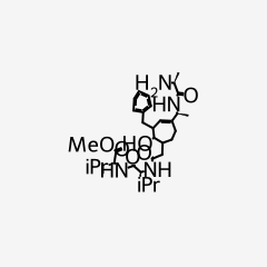 COC(=O)[C@@H](NC(=O)[C@@H](NC(=O)CC1CCC([C@H](C)NC(=O)[C@H](C)N)=CC(Cc2ccccc2)C1O)C(C)C)C(C)C